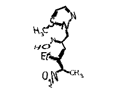 CCC(=CC(CN1N=CC=S1C)=NO)C(C)[N+](=O)[O-]